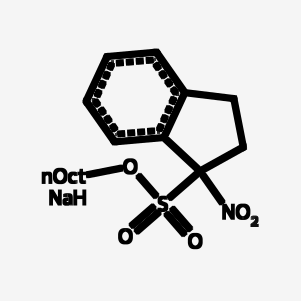 CCCCCCCCOS(=O)(=O)C1([N+](=O)[O-])CCc2ccccc21.[NaH]